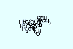 CCC(C)C(C(CC(=O)N1CCCC1C(OC)C(C)C)OC)N(C)C(=O)CNC=O